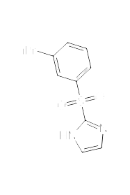 CC(C)c1cccc(S(=O)(=O)c2ncc[nH]2)c1